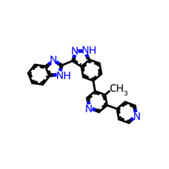 Cc1c(-c2ccncc2)cncc1-c1ccc2[nH]nc(-c3nc4ccccc4[nH]3)c2c1